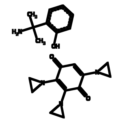 CC(C)(N)c1ccccc1O.O=C1C=C(N2CC2)C(=O)C(N2CC2)=C1N1CC1